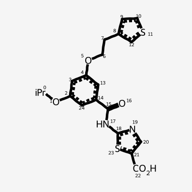 CC(C)Oc1cc(OCCc2ccsc2)cc(C(=O)Nc2ncc(C(=O)O)s2)c1